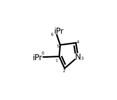 CC(C)C1=CN=CC1C(C)C